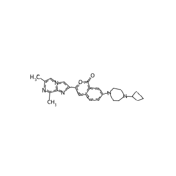 Cc1cn2cc(-c3cc4ccc(N5CCN(C6CCC6)CC5)cc4c(=O)o3)nc2c(C)n1